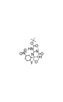 CN1C(=O)[C@@H]2COC[C@]2(c2cc([N+](=O)[O-])ccc2F)N=C1NC(=O)OC(C)(C)C